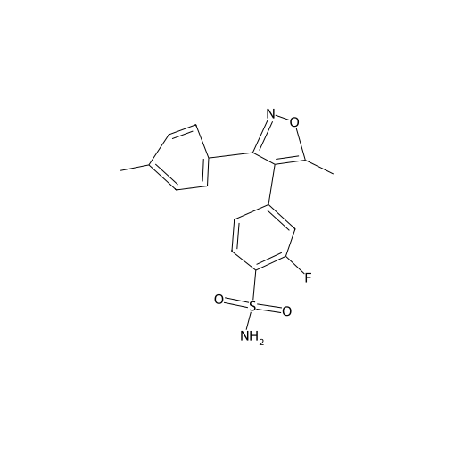 Cc1ccc(-c2noc(C)c2-c2ccc(S(N)(=O)=O)c(F)c2)cc1